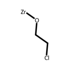 ClCC[O][Zr]